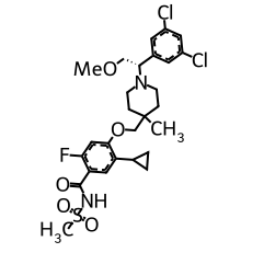 COC[C@H](c1cc(Cl)cc(Cl)c1)N1CCC(C)(COc2cc(F)c(C(=O)NS(C)(=O)=O)cc2C2CC2)CC1